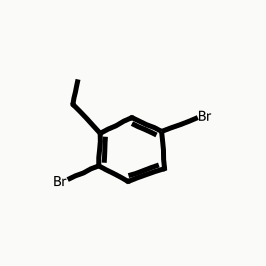 CCc1cc(Br)ccc1Br